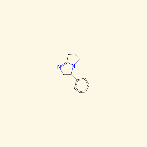 c1ccc(C2CN=C3CCCN32)cc1